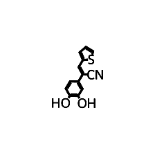 N#CC(=Cc1cccs1)c1ccc(O)c(O)c1